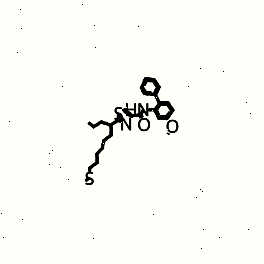 CCCC(CCCCCCSC)c1nc(C(=O)Nc2cc(OC)ccc2-c2ccccc2)cs1